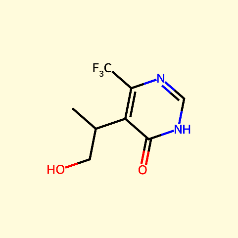 CC(CO)c1c(C(F)(F)F)nc[nH]c1=O